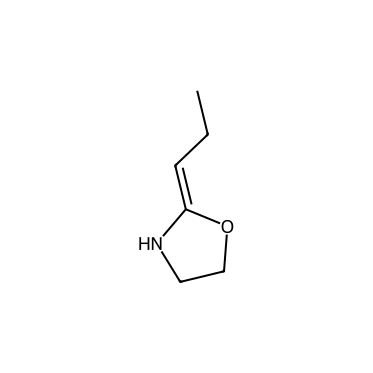 CCC=C1NCCO1